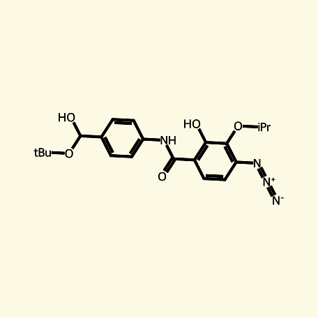 CC(C)Oc1c(N=[N+]=[N-])ccc(C(=O)Nc2ccc(C(O)OC(C)(C)C)cc2)c1O